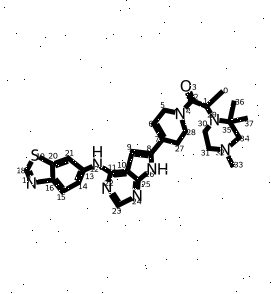 CC(C(=O)N1CC=C(c2cc3c(Nc4ccc5ncsc5c4)ncnc3[nH]2)CC1)N1CCN(C)CC1(C)C